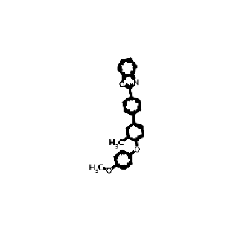 COc1ccc(OC2=CC=C(c3ccc(-c4nc5ccccc5o4)cc3)CC2C)cc1